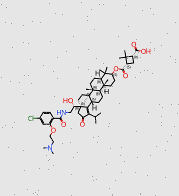 CC(C)C1=C2[C@H]3CC[C@@H]4[C@@]5(C)CC[C@H](OC(=O)[C@H]6C[C@@H](C(=O)O)C6(C)C)C(C)(C)[C@@H]5CC[C@@]4(C)[C@]3(C)CC[C@@]2([C@@H](O)CNC(=O)c2ccc(Cl)cc2OCCN(C)C)CC1=O